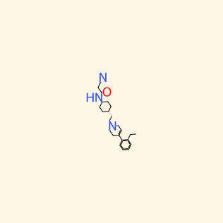 CCc1ccccc1C1=CCN(CC[C@H]2CC[C@H](NC(=O)CC#N)CC2)CC1